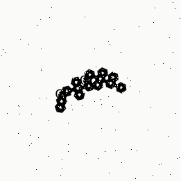 c1ccc(-c2ccc(-c3c4ccccc4c(-c4cccc5oc6c(-c7c8ccccc8c(-c8ccc9oc%10cc%11ccccc%11cc%10c9c8)c8ccccc78)cccc6c45)c4ccccc34)c3ccccc23)cc1